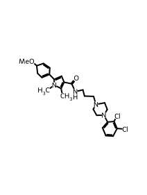 COC1C=CC(c2cc(C(=O)NCCCN3CCN(c4cccc(Cl)c4Cl)CC3)c(C)n2C)=CC1